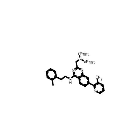 CCCCCN(CCCCC)Cc1nc(NCCc2ccccc2C)c2ccc(-c3ncccc3C(F)(F)F)cc2n1